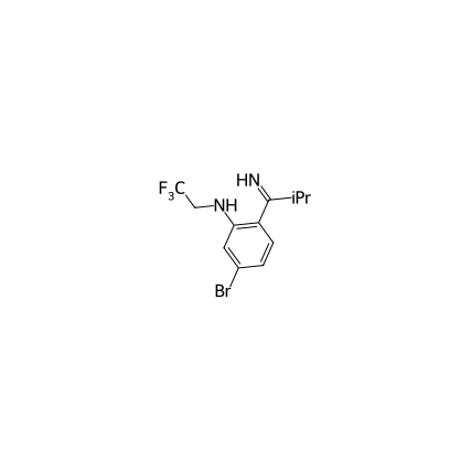 CC(C)C(=N)c1ccc(Br)cc1NCC(F)(F)F